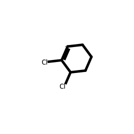 ClC1=[C]CCCC1Cl